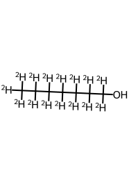 [2H]C([2H])([2H])C([2H])([2H])C([2H])([2H])C([2H])([2H])C([2H])([2H])C([2H])([2H])C([2H])([2H])O